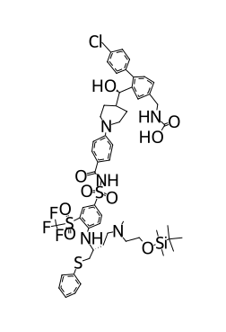 CN(CCO[Si](C)(C)C(C)(C)C)CC[C@H](CSc1ccccc1)Nc1ccc(S(=O)(=O)NC(=O)c2ccc(N3CCC([C@@H](O)c4cc(CNC(=O)O)ccc4-c4ccc(Cl)cc4)CC3)cc2)cc1S(=O)(=O)C(F)(F)F